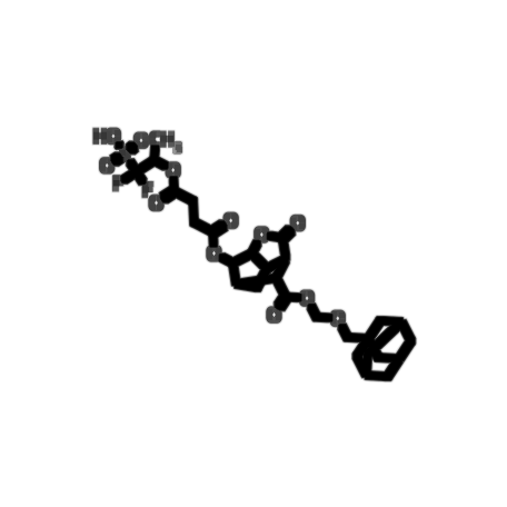 CC(OC(=O)CCC(=O)OC1C2CC3C1OC(=O)C3C2C(=O)OCOCC12CC3CC(CC(C3)C1)C2)C(F)(F)S(=O)(=O)O